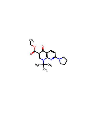 CCOC(=O)c1cn(C(C)(C)C)c2nc(N3CCCC3)ccc2c1=O